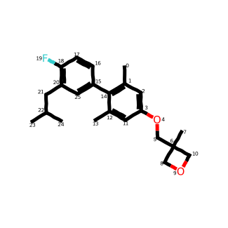 Cc1cc(OCC2(C)COC2)cc(C)c1-c1ccc(F)c(CC(C)C)c1